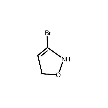 BrC1=C[CH]ON1